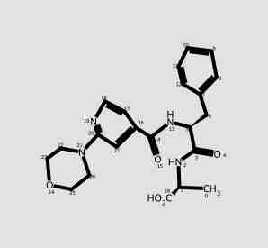 C[C@H](NC(=O)[C@H](Cc1ccccc1)NC(=O)c1ccnc(N2CCOCC2)c1)C(=O)O